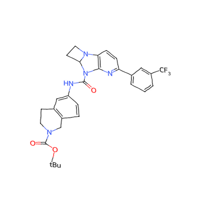 CC(C)(C)OC(=O)N1CCc2cc(NC(=O)N3c4nc(-c5cccc(C(F)(F)F)c5)ccc4N4CCC43)ccc2C1